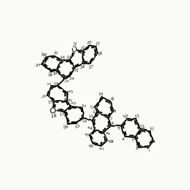 c1ccc2cc(-c3c4ccccc4c(-c4ccc5oc6ccc(-c7cc8c9ccccc9oc8c8ccccc78)cc6c5c4)c4ccccc34)ccc2c1